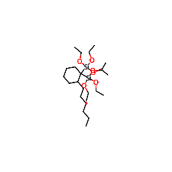 CCCCCCC1CCCCC1([Si](OCC)(OCC)OCC)[Si](OCC)(OCC)OCC